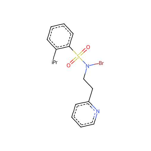 CC(C)c1ccccc1S(=O)(=O)N(Br)CCc1ccccn1